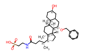 C[C@H](CCC(=O)NCCS(=O)(=O)O)[C@H]1CC[C@H]2[C@@H]3[C@@H](OCc4ccccc4)CC4C[C@H](O)CC[C@]4(C)[C@H]3CC[C@]12C